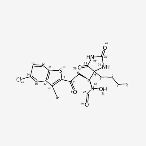 CCCCC1([C@H](CC(=O)c2sc3ccc(Cl)cc3c2C)N(O)C=O)NC(=O)NC1=O